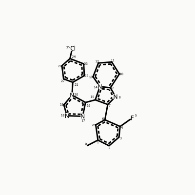 Cc1ccc(F)c(-c2nc3ccccn3c2-c2nncn2-c2ccc(Cl)cc2)c1